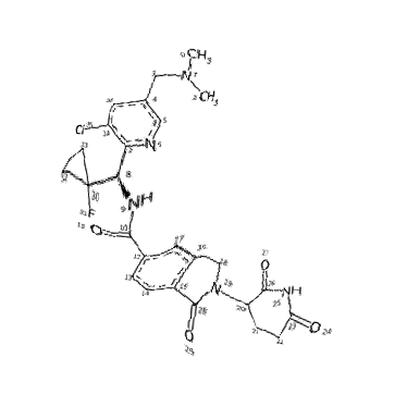 CN(C)Cc1cnc([C@@H](NC(=O)c2ccc3c(c2)CN(C2CCC(=O)NC2=O)C3=O)C2(F)CC2)c(Cl)c1